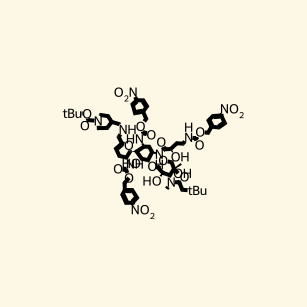 CN(C(=O)CC(C)(C)C)[C@@H]1[C@@H](O)[C@@H](O[C@H]2[C@H](NC(=O)[C@@H](O)CCNC(=O)OCc3ccc([N+](=O)[O-])cc3)C[C@H](NC(=O)OCc3ccc([N+](=O)[O-])cc3)C([C@H]3OC(CNCC4CCN(C(=O)OC(C)(C)C)CC4)=CC[C@H]3NC(=O)OCc3ccc([N+](=O)[O-])cc3)[C@@H]2O)OC[C@]1(C)O